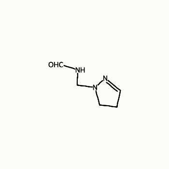 O=CNCN1CCC=N1